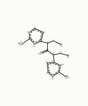 Nc1nccc(C(CBr)C(=O)C(CBr)c2ccnc(N)n2)n1